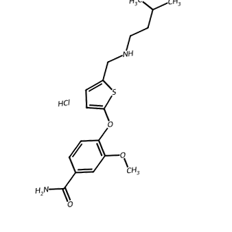 COc1cc(C(N)=O)ccc1Oc1ccc(CNCCC(C)C)s1.Cl